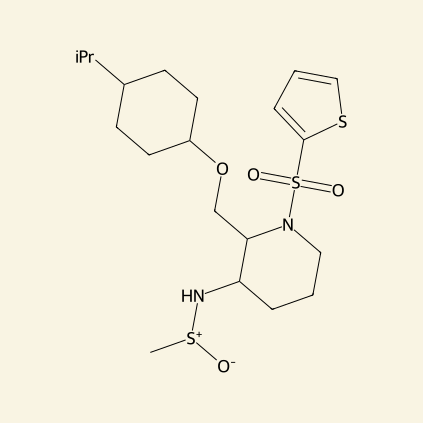 CC(C)C1CCC(OCC2C(N[S+](C)[O-])CCCN2S(=O)(=O)c2cccs2)CC1